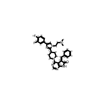 CN(C)CCn1cc(-c2ccc(F)c(F)c2)nc1C1CCN(c2ncnc3c2C(=Cc2ccccc2)C(=O)N3)CC1